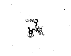 C#Cc1cc2c(cc1Cc1nc3c(N)nc(F)nc3n1CCC1CCCN(C=O)C1)OCCO2